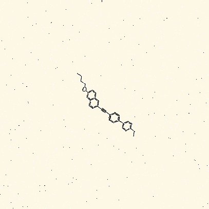 CCCCOc1ccc2cc(C#Cc3ccc(-c4ccc(CC)cc4)cc3)ccc2c1